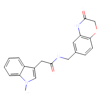 Cn1cc(CC(=O)NCc2ccc3c(c2)NC(=O)CO3)c2ccccc21